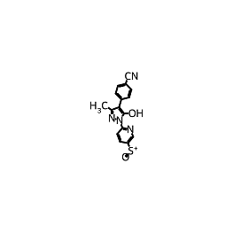 Cc1nn(-c2ccc([S+]=O)cn2)c(O)c1-c1ccc(C#N)cc1